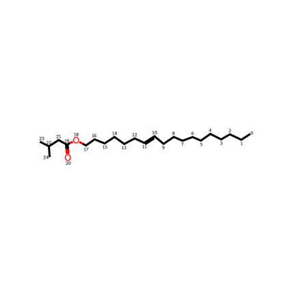 CCCCCCCCCCC=CCCCCCCOC(=O)CC(C)C